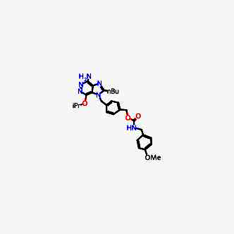 CCCCc1nc2c(N)nnc(OC(C)C)c2n1Cc1ccc(COC(=O)NCc2ccc(OC)cc2)cc1